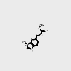 CCCCOC(=O)NCc1ccc2ncn(C(C)C)c2c1